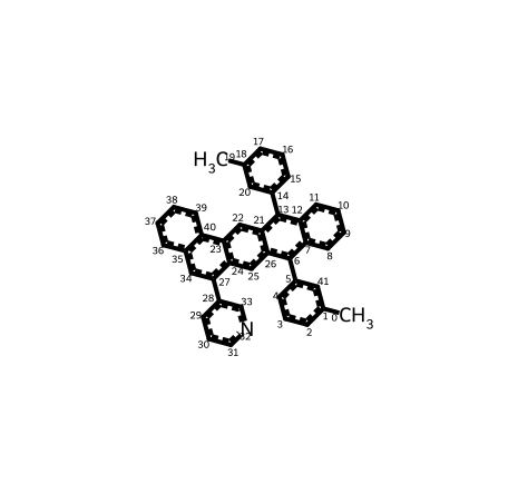 Cc1cccc(-c2c3ccccc3c(-c3cccc(C)c3)c3cc4c(cc23)c(-c2cccnc2)cc2ccccc24)c1